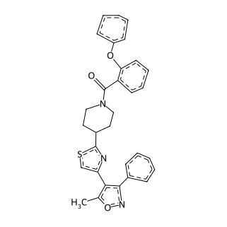 Cc1onc(-c2ccccc2)c1-c1csc(C2CCN(C(=O)c3ccccc3Oc3ccccc3)CC2)n1